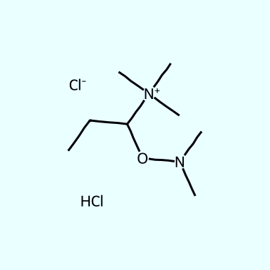 CCC(ON(C)C)[N+](C)(C)C.Cl.[Cl-]